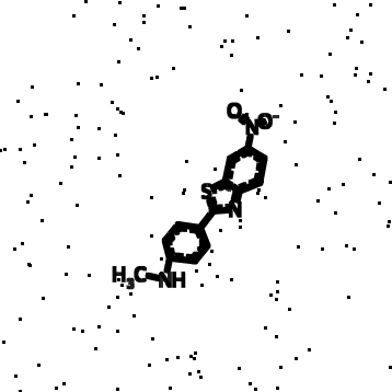 CNc1ccc(-c2nc3ccc([N+](=O)[O-])cc3s2)cc1